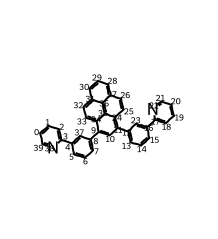 c1ccc(-c2cccc(-c3cc(-c4cccc(-c5ccccn5)c4)c4ccc5cccc6ccc3c4c65)c2)nc1